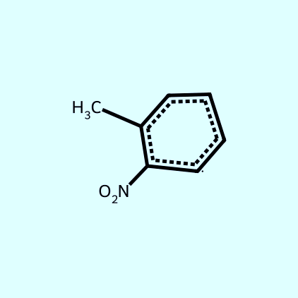 Cc1ccc[c]c1[N+](=O)[O-]